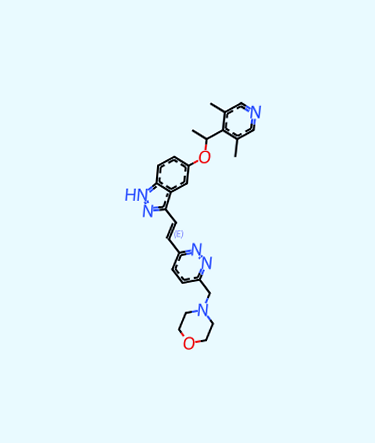 Cc1cncc(C)c1C(C)Oc1ccc2[nH]nc(/C=C/c3ccc(CN4CCOCC4)nn3)c2c1